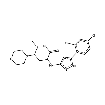 CSC(CC(Nc1cc(-c2ccc(Cl)cc2Cl)[nH]n1)C(=O)O)N1CCOCC1